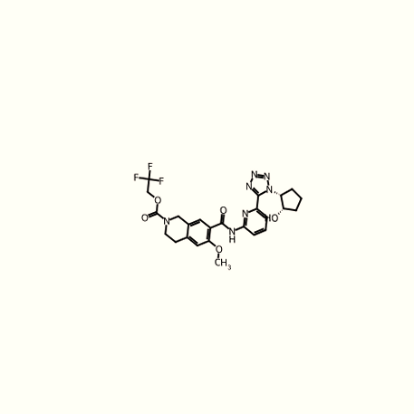 COc1cc2c(cc1C(=O)Nc1cccc(-c3nnnn3[C@@H]3CCC[C@@H]3O)n1)CN(C(=O)OCC(F)(F)F)CC2